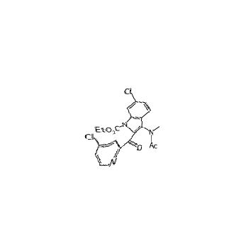 CCOC(=O)n1c(C(=O)c2cc(Cl)ccn2)c(N(C)C(C)=O)c2ccc(Cl)cc21